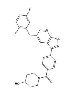 O=C(c1ccc(-c2n[nH]c3ncc(Cc4cc(F)ccc4F)cc23)cc1)N1CCC(O)CC1